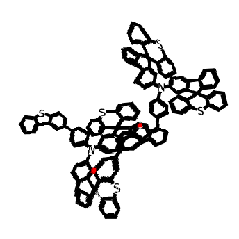 c1ccc2c(c1)Sc1ccccc1C21c2ccccc2-c2ccc(N(c3ccc(-c4cccc5c4sc4ccc(-c6ccc7c(c6)Sc6ccccc6[C@@]76c7ccccc7-c7ccc(N(c8ccc(-c9ccc%10sc%11ccccc%11c%10c9)cc8)c8ccc9c(c8)C8(c%10ccccc%10Sc%10ccccc%108)c8ccccc8-9)cc76)cc45)cc3)c3ccc4c(c3)C3(c5ccccc5Sc5ccccc53)c3ccccc3-4)cc21